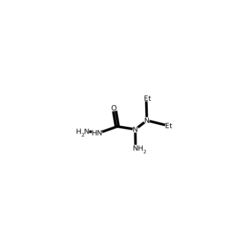 CCN(CC)N(N)C(=O)NN